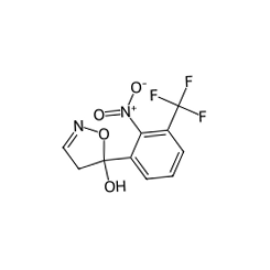 O=[N+]([O-])c1c(C(F)(F)F)cccc1C1(O)CC=NO1